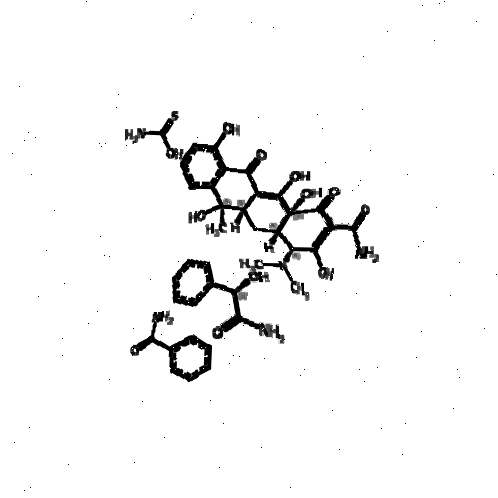 CN(C)[C@@H]1C(O)=C(C(N)=O)C(=O)[C@@]2(O)C(O)=C3C(=O)c4c(O)cccc4[C@@](C)(O)[C@H]3C[C@@H]12.NC(=O)[C@H](O)c1ccccc1.NC(=O)c1ccccc1.NC(O)=S